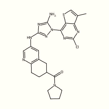 Cc1csc2c(-n3nc(Nc4cnc5c(c4)CC(C(=O)N4CCCC4)CC5)nc3N)nc(Cl)nc12